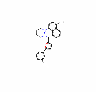 N#Cc1ccc(N2CCCCN2Cc2ccc(-c3cccc(C(F)(F)F)c3)o2)c2ccccc12